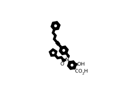 O=C(O)c1ccc(N(Cc2ccc(C#CCCCc3ccccc3)cc2)C(=O)CCC2CCCC2)cc1O